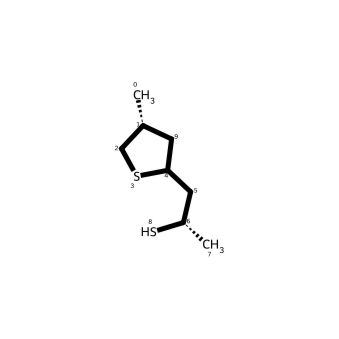 C[C@H]1CSC(C[C@H](C)S)C1